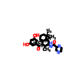 C[C@@H]1[C@H](NC(=O)c2cnccn2)C[C@H]2C(C)(C)CCC[C@]2(C)[C@H]1C(=O)c1cc(O)cc(O)c1